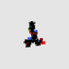 CC1(C)CC(C(CC[C@@H]2CN(C(=O)O)C(C)(C)C2)Nc2cccc(S(=O)(=O)NC(=O)c3ccc(C(C)(C)C)nc3F)n2)CC(C)(C)O1